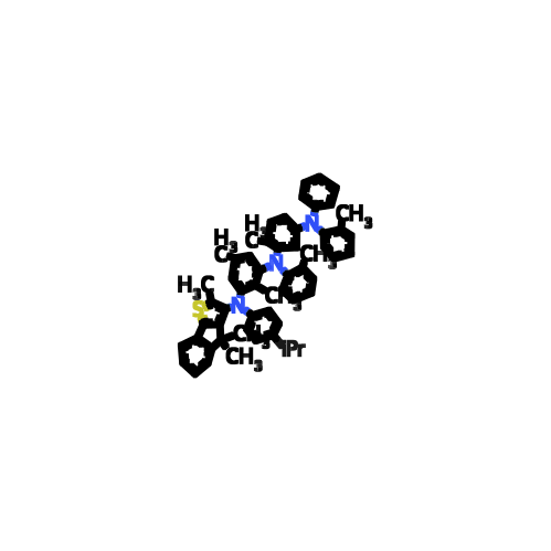 Cc1cc(N(c2ccccc2C)c2cc(N(c3ccccc3)c3ccccc3C)ccc2C)c(C)c(N(c2ccc(C(C)C)cc2)c2c(C)sc3c2C(C)(C)c2ccccc2-3)c1